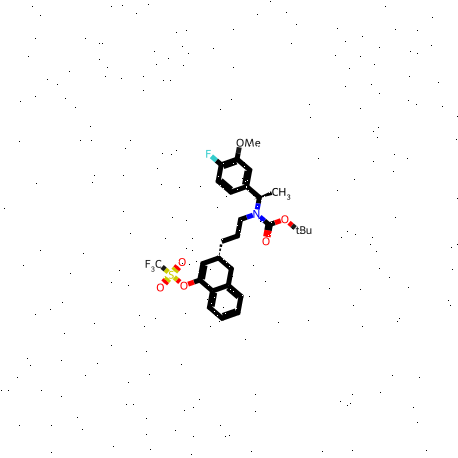 COc1cc([C@@H](C)N(CCC[C@H]2C=C(OS(=O)(=O)C(F)(F)F)c3ccccc3C2)C(=O)OC(C)(C)C)ccc1F